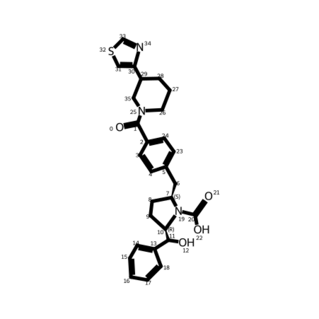 O=C(c1ccc(C[C@@H]2CC[C@H](C(O)c3ccccc3)N2C(=O)O)cc1)N1CCCC(c2cscn2)C1